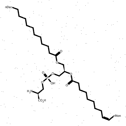 CCCCCCCCC/C=C\CCCCCCCC(=O)O[C@H](COC(=O)CCCCCCCCCCCCCCCCCCCC)COP(=O)(O)OC[C@H](N)C(=O)O